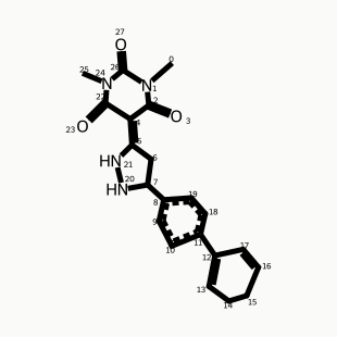 CN1C(=O)C(=C2CC(c3ccc(C4=CCCC=C4)cc3)NN2)C(=O)N(C)C1=O